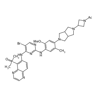 COc1cc(N2CC3CN(C4CN(C(C)=O)C4)CC3C2)c(C)cc1Nc1ncc(Br)c(Nc2ccc3nccnc3c2P(C)(C)=O)n1